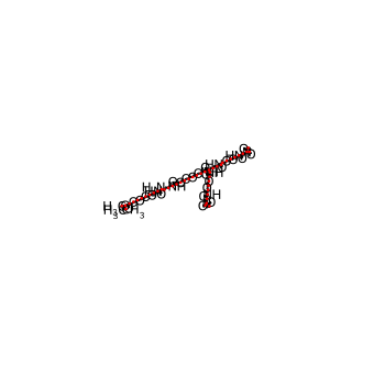 CC(C)(C)OC(=O)CCOCCOCCOCCOCCNC(=O)[C@@H](N)CCCCNC(=O)CCOCCOCCOCCOCCNC(=O)[C@@H](CCCCNC(=O)CCOCCOCCNC(=O)CCN1C(=O)C=CC1=O)NC(=O)CCOCCOCCNC(=O)CCN1C(=O)C=CC1=O